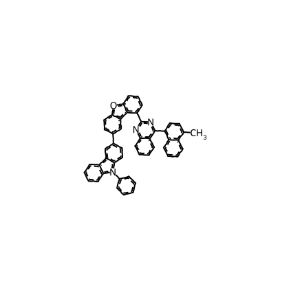 Cc1ccc(-c2nc(-c3cccc4oc5ccc(-c6ccc7c(c6)c6ccccc6n7-c6ccccc6)cc5c34)nc3ccccc23)c2ccccc12